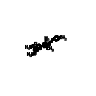 COc1cc(OC)c2c(=O)cc(-c3cc(C)c(OCCCN4CCN(C)CC4)c(C)c3)oc2c1